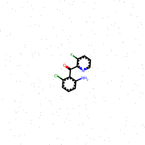 Nc1cccc(Cl)c1C(=O)c1ncccc1F